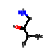 CCC(OC(C)=O)C(=O)CN